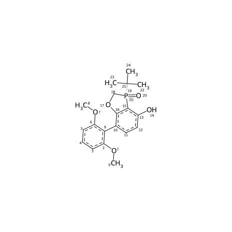 COc1cccc(OC)c1-c1ccc(O)c2c1OC[P@]2(=O)C(C)(C)C